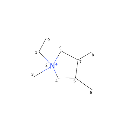 CC[N+]1(C)CC(C)C(C)C1